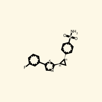 NS(=O)(=O)c1ccc([C@@H]2C[C@H]2c2ncc(-c3cccc(F)c3)s2)cc1